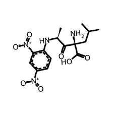 CC(C)C[C@](N)(C(=O)O)C(=O)[C@H](C)Nc1ccc([N+](=O)[O-])cc1[N+](=O)[O-]